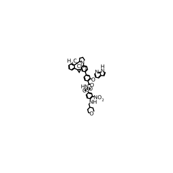 CC(C)(c1ccccc1C1CC1)C1CCCN1c1ccc(-c2ccc(C(=O)NS(=O)(=O)c3ccc(NCC4CCOCC4)c([N+](=O)[O-])c3)c(Oc3cnc4[nH]ccc4c3)c2)cc1